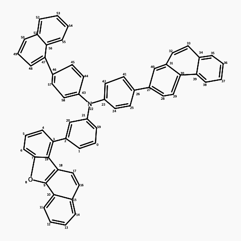 c1cc(-c2cccc3oc4c5ccccc5ccc4c23)cc(N(c2ccc(-c3ccc4c(ccc5ccccc54)c3)cc2)c2ccc(-c3cccc4ccccc34)cc2)c1